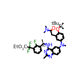 CCOC(=O)C(F)(F)c1cccc([C@@H](C)Nc2nc(C)nc3ccc(N(C)c4ccc(O[Si](C)(C)C(C)(C)C)c(CC(=O)N(C)C)c4)cc23)c1F